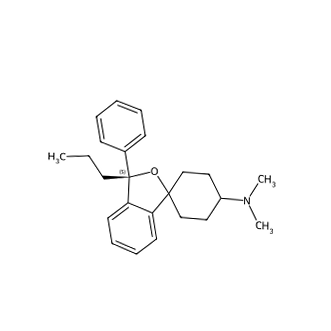 CCC[C@@]1(c2ccccc2)OC2(CCC(N(C)C)CC2)c2ccccc21